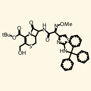 CON=C(C(=O)NC1C(=O)N2C(C(=O)OC(C)(C)C)=C(CO)SCC12)c1csc(NC(c2ccccc2)(c2ccccc2)c2ccccc2)n1